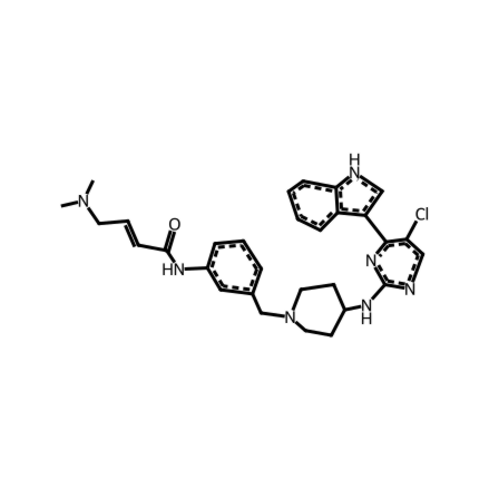 CN(C)C/C=C/C(=O)Nc1cccc(CN2CCC(Nc3ncc(Cl)c(-c4c[nH]c5ccccc45)n3)CC2)c1